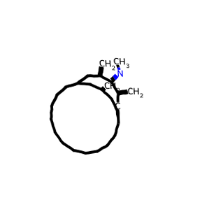 C=C1CCC2CCCCCCCCCCCC(C1)CC(=C)/C(=N\C)C(=C)C2